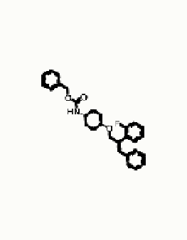 O=C(N[C@H]1CC[C@H](OC/C(=C/c2ccccc2)c2ccccc2F)CC1)OCc1ccccc1